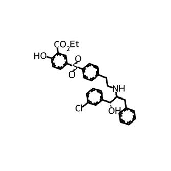 CCOC(=O)c1cc(S(=O)(=O)c2ccc(CCNC(Cc3ccccc3)[C@H](O)c3cccc(Cl)c3)cc2)ccc1O